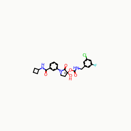 O=C(NCc1cc(F)cc(Cl)c1)O[C@]1(O)CCN(c2cccc(C(=O)NC3CCC3)c2)C1=O